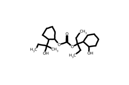 CCC(C)(O)C1CCCCC1OC(=O)OC(CC)(CC)C1CCCCC1O